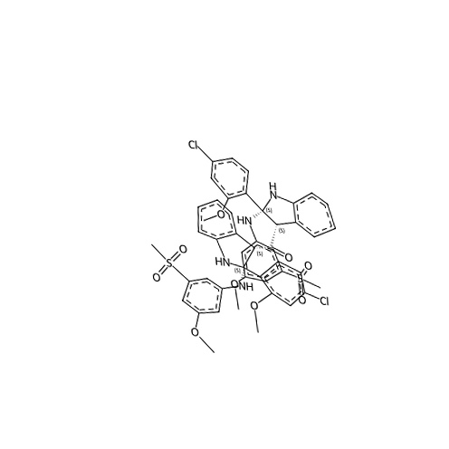 COc1cc(N[C@]2(c3ccc(Cl)cc3OC)Nc3ccccc3[C@@H]2C(=O)[C@H]2c3ccccc3N[C@]2(Nc2cc(OC)cc(S(C)(=O)=O)c2)c2ccc(Cl)cc2OC)cc(S(C)(=O)=O)c1